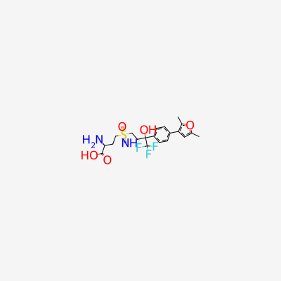 Cc1cc(-c2ccc(C(O)(CCS(=N)(=O)CC[C@H](N)C(=O)O)C(F)(F)F)cc2)c(C)o1